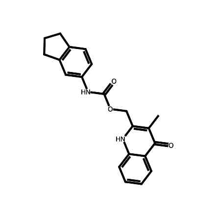 Cc1c(COC(=O)Nc2ccc3c(c2)CCC3)[nH]c2ccccc2c1=O